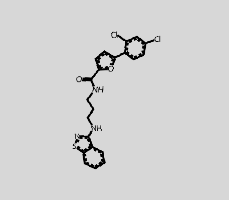 O=C(NCCCNc1nsc2ccccc12)c1ccc(-c2ccc(Cl)cc2Cl)o1